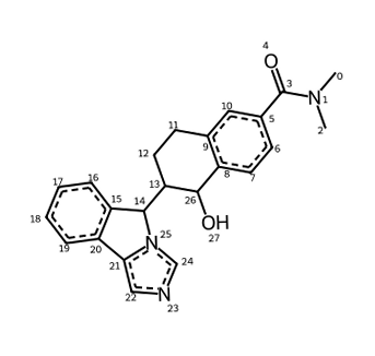 CN(C)C(=O)c1ccc2c(c1)CCC(C1c3ccccc3-c3cncn31)C2O